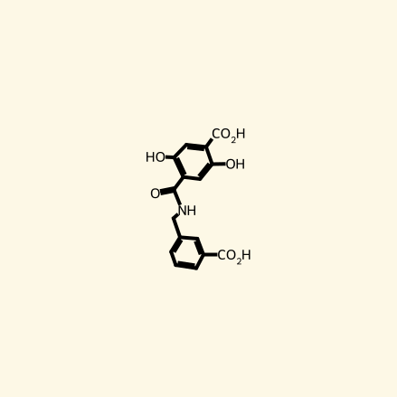 O=C(O)c1cccc(CNC(=O)c2cc(O)c(C(=O)O)cc2O)c1